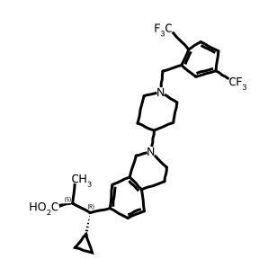 C[C@H](C(=O)O)[C@H](c1ccc2c(c1)CN(C1CCN(Cc3cc(C(F)(F)F)ccc3C(F)(F)F)CC1)CC2)C1CC1